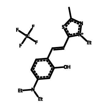 CCN(CC)c1ccc(C=Cc2sc(C)n[n+]2CC)c(O)c1.F[B-](F)(F)F